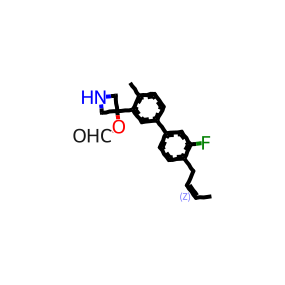 C/C=C\Cc1ccc(-c2ccc(C)c(C3(OC=O)CNC3)c2)cc1F